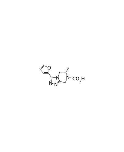 CC1Cn2c(nnc2-c2ccco2)CN1C(=O)O